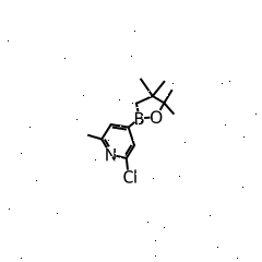 Cc1cc(B2CC(C)(C)C(C)(C)O2)cc(Cl)n1